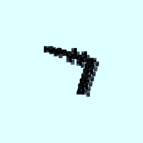 O.O.O.O.O.O.O.O.O.O.O.O.[AlH3].[CsH]